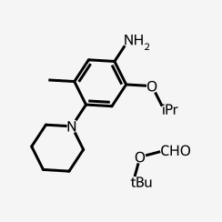 CC(C)(C)OC=O.Cc1cc(N)c(OC(C)C)cc1N1CCCCC1